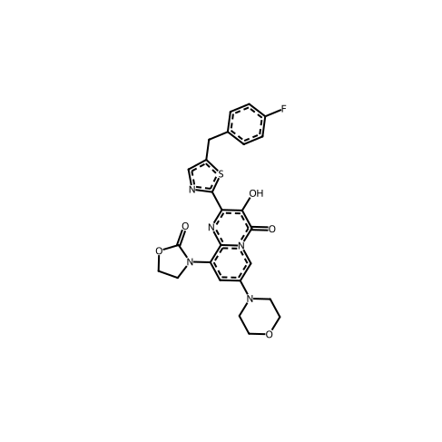 O=C1OCCN1c1cc(N2CCOCC2)cn2c(=O)c(O)c(-c3ncc(Cc4ccc(F)cc4)s3)nc12